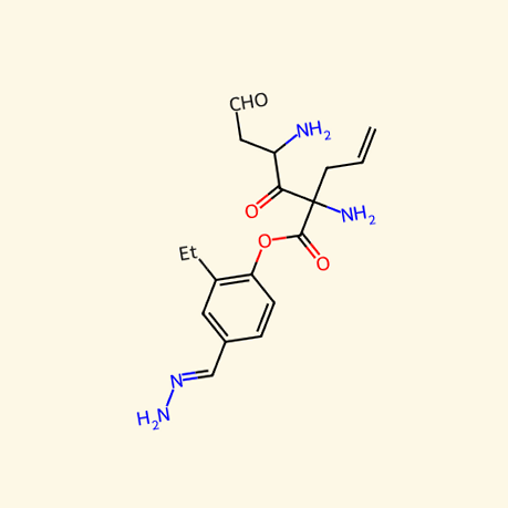 C=CCC(N)(C(=O)Oc1ccc(C=NN)cc1CC)C(=O)C(N)CC=O